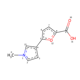 Cn1ccc(-c2ccc(C(=O)O)o2)c1